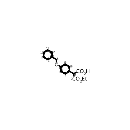 CCOC(=O)C(C(=O)O)c1ccc(OCc2ccccc2)cc1